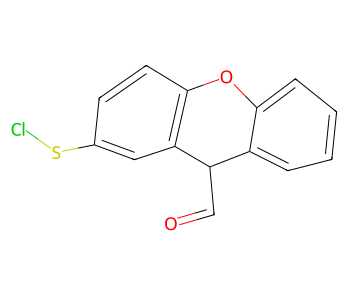 O=CC1c2ccccc2Oc2ccc(SCl)cc21